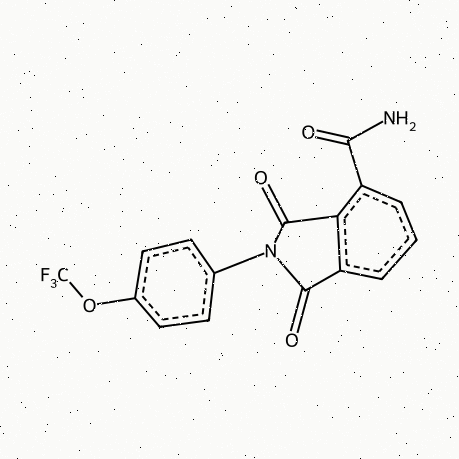 NC(=O)c1cccc2c1C(=O)N(c1ccc(OC(F)(F)F)cc1)C2=O